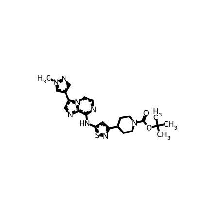 Cn1cc(-c2cnc3c(Nc4cc(C5CCN(C(=O)OC(C)(C)C)CC5)ns4)nccn23)cn1